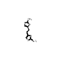 Cc1nc(CCc2csc(C)n2)cs1